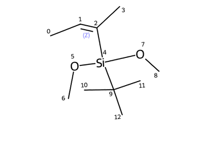 C/C=C(/C)[Si](OC)(OC)C(C)(C)C